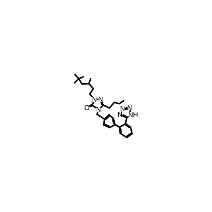 CCCCc1nn(CCC(C)CC(C)(C)C)c(=O)n1Cc1ccc(-c2ccccc2-c2nnn[nH]2)cc1